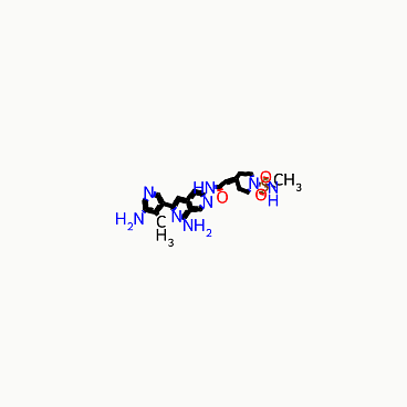 CNS(=O)(=O)N1CCC(=CC(=O)Nc2cc3cc(-c4cncc(N)c4C)nc(N)c3cn2)CC1